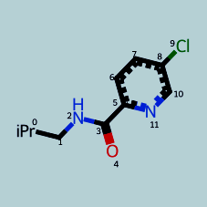 CC(C)CNC(=O)c1ccc(Cl)cn1